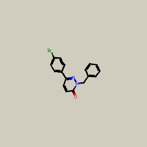 O=c1ccc(-c2ccc(Br)cc2)nn1Cc1ccccc1